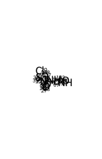 O=C([C@H](NCc1ccc2[nH]c(=O)ccc2c1)c1ccc(Cl)cc1)N(Cc1ccco1)Cc1cccs1